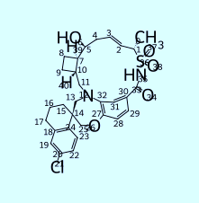 C[C@H]1/C=C/C[C@H](O)[C@@H]2CC[C@H]2CN2C[C@@]3(CCCc4cc(Cl)ccc43)COc3ccc(cc32)C(=O)NS1(=O)=O